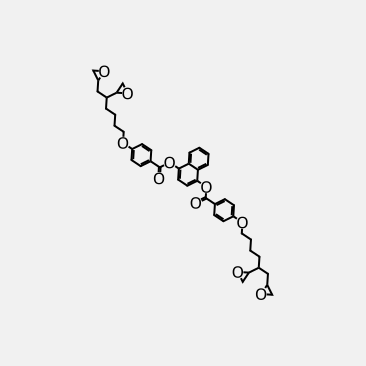 O=C(Oc1ccc(OC(=O)c2ccc(OCCCCC(CC3CO3)C3CO3)cc2)c2ccccc12)c1ccc(OCCCCC(CC2CO2)C2CO2)cc1